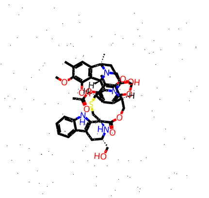 COc1c(C)cc2c(c1O)[C@H]1C3[C@@H]4SC[C@]5(N[C@H](CO)Cc6c5[nH]c5ccccc65)C(=O)OC[C@@H](c5c6c(c(C)c(OC(C)=O)c54)OCO6)N3C3(O)CN1[C@]2(C)C3